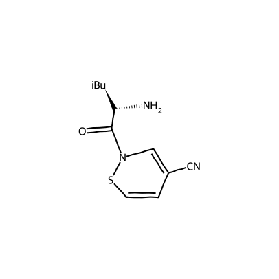 CC[C@H](C)[C@H](N)C(=O)N1C=C(C#N)C=CS1